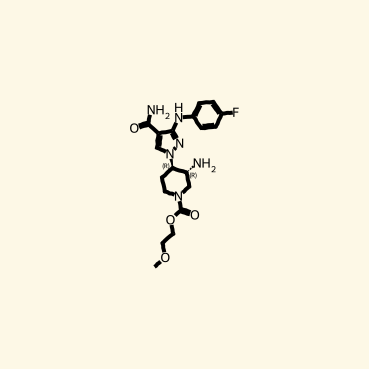 COCCOC(=O)N1CC[C@@H](n2cc(C(N)=O)c(Nc3ccc(F)cc3)n2)[C@H](N)C1